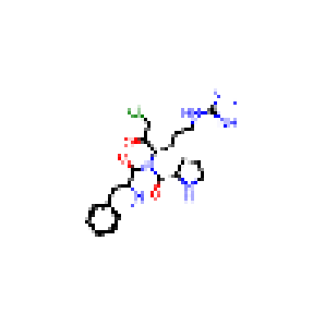 N=C(N)NCCC[C@@H](C(=O)CCl)N(C(=O)[C@H](N)Cc1ccccc1)C(=O)[C@@H]1CCCN1